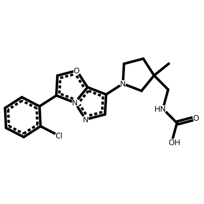 CC1(CNC(=O)O)CCN(c2cnn3c(-c4ccccc4Cl)coc23)C1